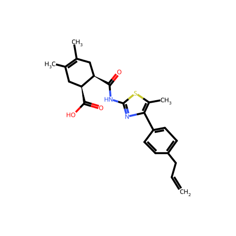 C=CCc1ccc(-c2nc(NC(=O)[C@@H]3CC(C)=C(C)C[C@@H]3C(=O)O)sc2C)cc1